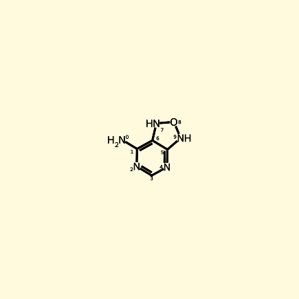 Nc1ncnc2c1NON2